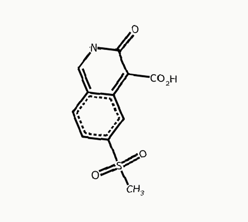 CS(=O)(=O)c1ccc2c(c1)=C(C(=O)O)C(=O)[N]C=2